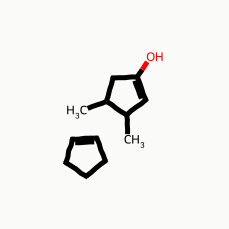 C1=CCCC1.CC1C=C(O)CC1C